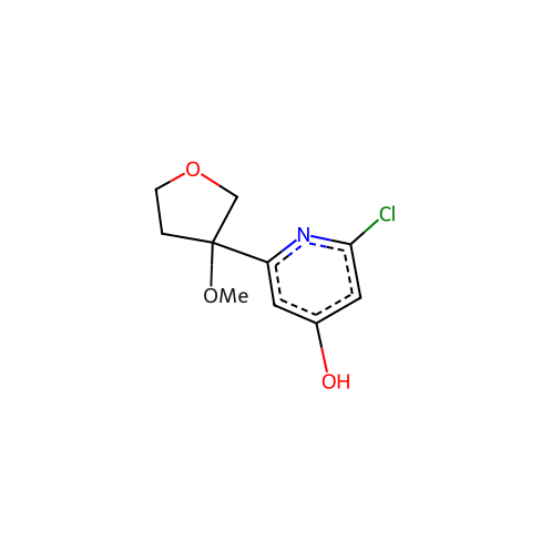 COC1(c2cc(O)cc(Cl)n2)CCOC1